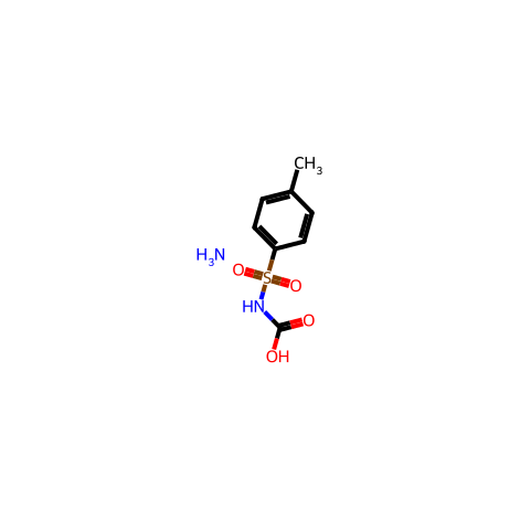 Cc1ccc(S(=O)(=O)NC(=O)O)cc1.N